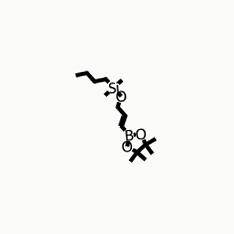 CCCC[Si](C)(C)OCC=CB1OC(C)(C)C(C)(C)O1